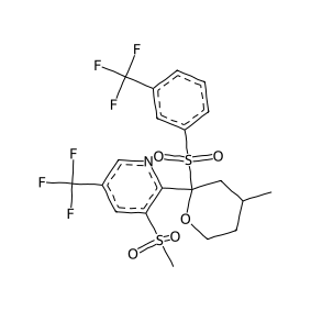 CC1CCOC(c2ncc(C(F)(F)F)cc2S(C)(=O)=O)(S(=O)(=O)c2cccc(C(F)(F)F)c2)C1